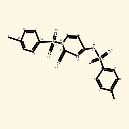 Cc1ccc(S(=O)(=O)Nc2ccn(S(=O)(=O)c3ccc(C)cc3)c(=O)n2)cc1